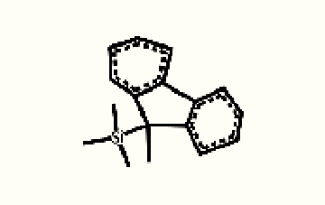 CC1([Si](C)(C)C)c2ccccc2-c2ccccc21